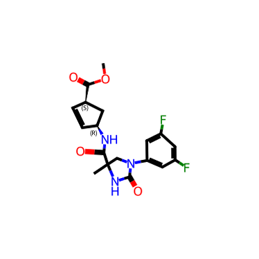 COC(=O)[C@@H]1C=C[C@H](NC(=O)C2(C)CN(c3cc(F)cc(F)c3)C(=O)N2)C1